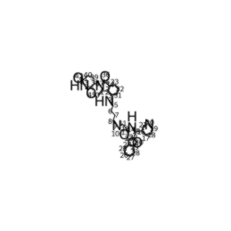 C=C1c2c(NCCCCN(C)CC(=O)NC(c3cccnc3)c3cc4ccccc4o3)cccc2C(=O)N1C1CCC(=O)NC1=O